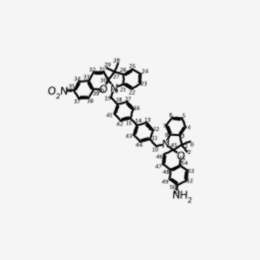 CC1(C)c2ccccc2N(Cc2ccc(-c3ccc(CN4c5ccccc5C(C)(C)C45C=Cc4cc([N+](=O)[O-])ccc4O5)cc3)cc2)C12C=Cc1cc(N)ccc1O2